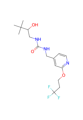 CC(C)(C)C(O)CNC(=O)NCc1ccnc(OCCC(F)(F)F)c1